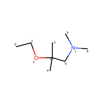 CCOC(C)(C)CN(C)C